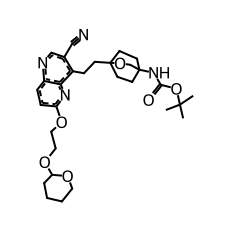 CC(C)(C)OC(=O)NC12CCC(CCc3c(C#N)cnc4ccc(OCCOC5CCCCO5)nc34)(CC1)OC2